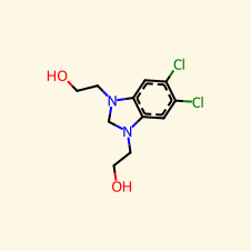 OCCN1CN(CCO)c2cc(Cl)c(Cl)cc21